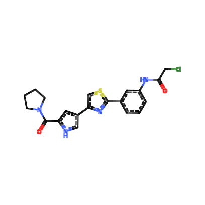 O=C(CCl)Nc1cccc(-c2nc(-c3c[nH]c(C(=O)N4CCCC4)c3)cs2)c1